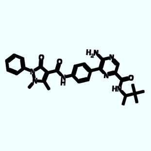 Cc1c(C(=O)Nc2ccc(-c3nc(C(=O)NC(C)C(C)(C)C)cnc3N)cc2)c(=O)n(-c2ccccc2)n1C